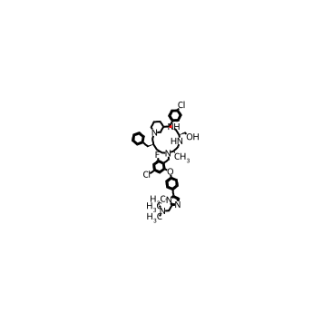 C[C@H]1CN[C@H](CO)CN[C@@]2(Cc3ccc(Cl)cc3)CCCN(C[C@H](Cc3ccccc3)CCN1Cc1c(F)cc(Cl)cc1Oc1ccc(-c3cnc(CN(C)C)n3C)cc1)C2